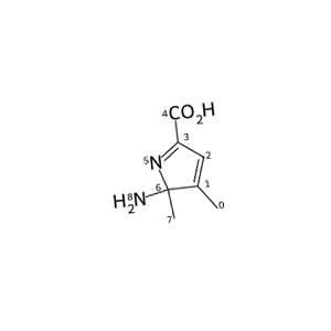 CC1=CC(C(=O)O)=NC1(C)N